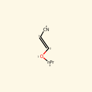 CCCOC=CC#N